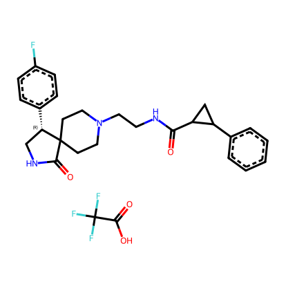 O=C(NCCN1CCC2(CC1)C(=O)NC[C@@H]2c1ccc(F)cc1)C1CC1c1ccccc1.O=C(O)C(F)(F)F